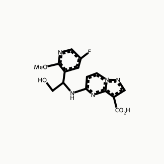 COc1ncc(F)cc1C(CO)Nc1ccn2ncc(C(=O)O)c2n1